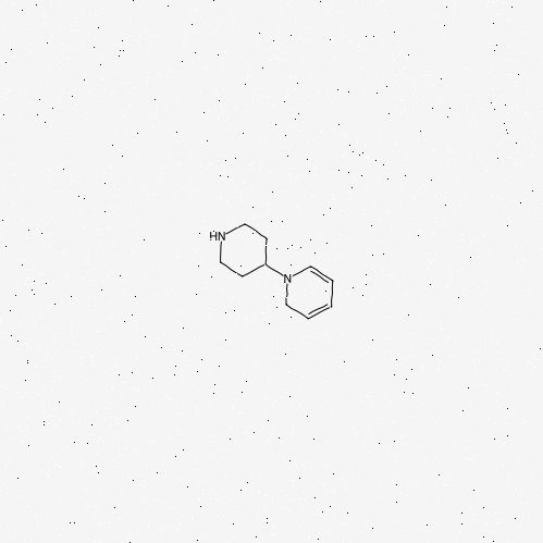 C1=CCN(C2CCNCC2)C=C1